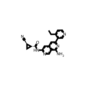 CCc1ccncc1-c1cc2cc(NC(=O)[C@@H]3C[C@H]3C#N)ncc2c(N)n1